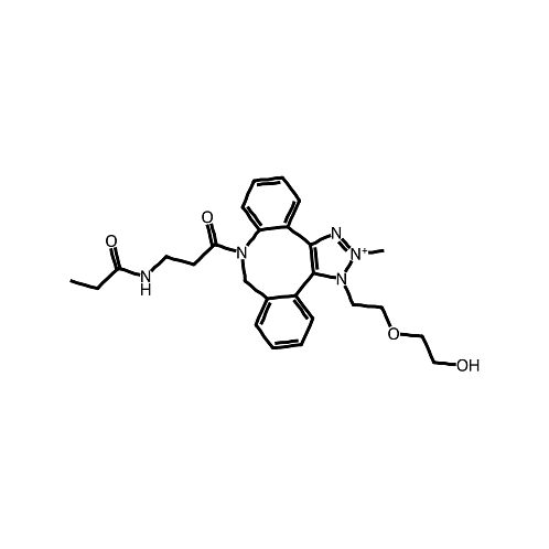 CCC(=O)NCCC(=O)N1Cc2ccccc2-c2c(n[n+](C)n2CCOCCO)-c2ccccc21